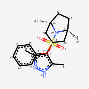 Cc1n[nH]c(C)c1S(=O)(=O)N1[C@@H]2CC[C@H]1C[C@@H](Oc1ccccc1)C2